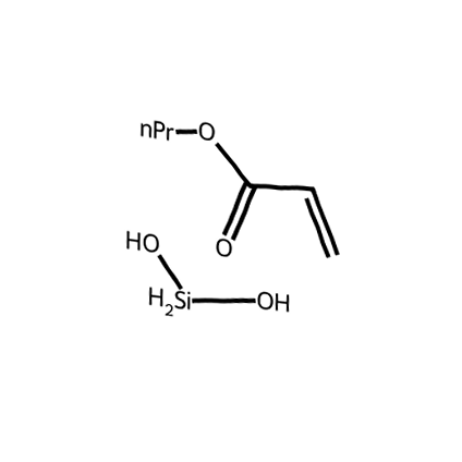 C=CC(=O)OCCC.O[SiH2]O